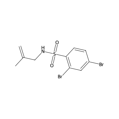 C=C(C)CNS(=O)(=O)c1ccc(Br)cc1Br